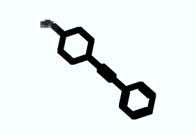 CCCC1CCC(C#Cc2ccccc2)CC1